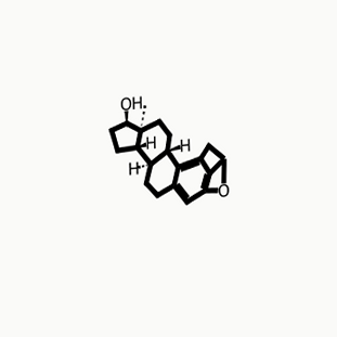 C[C@]12CC[C@@H]3c4c(cc5c6c4CC6O5)CC[C@H]3[C@@H]1CC[C@H]2O